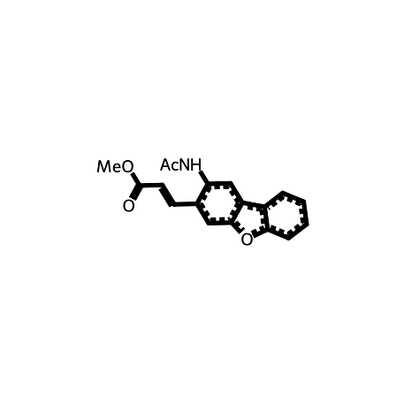 COC(=O)C=Cc1cc2oc3ccccc3c2cc1NC(C)=O